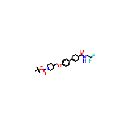 CC(C)(C)OC(=O)N1CCC(COc2ccc(C3=CCC(C(=O)NCC(F)F)CC3)cc2)CC1